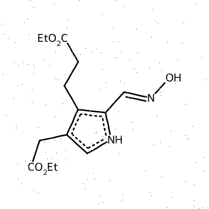 CCOC(=O)CCc1c(CC(=O)OCC)c[nH]c1/C=N/O